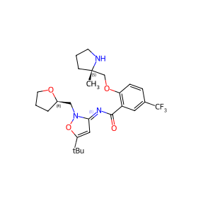 CC(C)(C)c1c/c(=N\C(=O)c2cc(C(F)(F)F)ccc2OC[C@]2(C)CCCN2)n(C[C@H]2CCCO2)o1